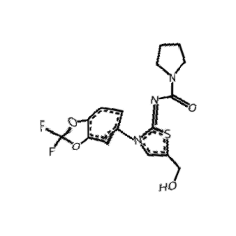 O=C(/N=c1\sc(CO)cn1-c1ccc2c(c1)OC(F)(F)O2)N1CCCC1